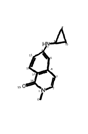 Cn1ccc2cc(NC3CC3)ccc2c1=O